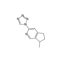 CC1CCc2cc(-n3cnnn3)ncc21